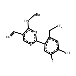 CCCCNc1nc(-c2cc(F)c(O)cc2CC(F)(F)F)ncc1C=N